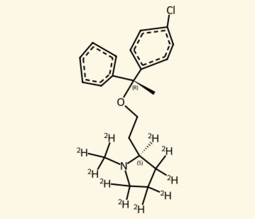 [2H]C([2H])([2H])N1C([2H])([2H])C([2H])([2H])C([2H])([2H])[C@]1([2H])CCO[C@](C)(c1ccccc1)c1ccc(Cl)cc1